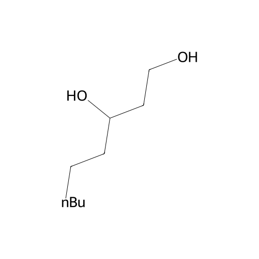 CCCCCCC(O)CCO